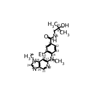 CCc1cc(C(=O)NCC(C)(C)O)ccc1N(C)c1cc2c(cn1)ncn2C